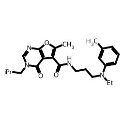 CCN(CCCNC(=O)c1c(C)oc2ncn(CC(C)C)c(=O)c12)c1cccc(C)c1